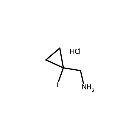 Cl.NCC1(I)CC1